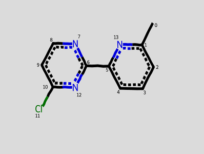 Cc1cccc(-c2nccc(Cl)n2)n1